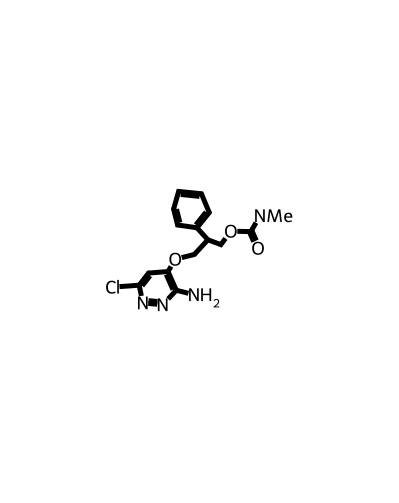 CNC(=O)OCC(COc1cc(Cl)nnc1N)c1ccccc1